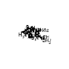 COc1cc(N(C)CCN(C)C)c([N+](=O)[O-])cc1Nc1ncc(C(=O)OCC2CC2)c(-c2cn(C)c3ccccc23)n1